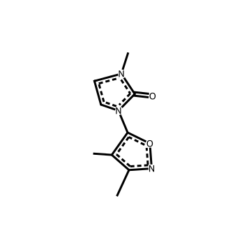 Cc1noc(-n2ccn(C)c2=O)c1C